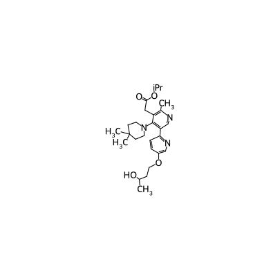 Cc1ncc(-c2ccc(OCCC(C)O)cn2)c(N2CCC(C)(C)CC2)c1CC(=O)OC(C)C